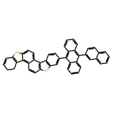 C1=Cc2sc3ccc4c(ccc5sc6cc(-c7c8ccccc8c(-c8ccc9ccccc9c8)c8ccccc78)ccc6c54)c3c2CC1